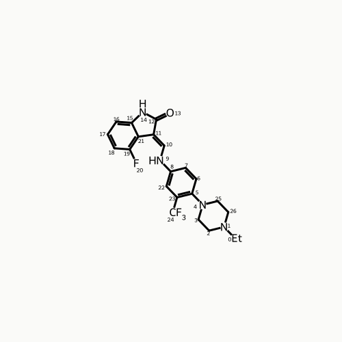 CCN1CCN(c2ccc(N/C=C3/C(=O)Nc4cccc(F)c43)cc2C(F)(F)F)CC1